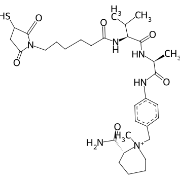 CC(C)[C@H](NC(=O)CCCCCN1C(=O)CC(S)C1=O)C(=O)N[C@@H](C)C(=O)Nc1ccc(C[N+]2(C)CCCC[C@@H]2C(N)=O)cc1